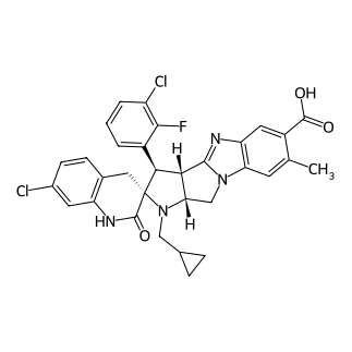 Cc1cc2c(cc1C(=O)O)nc1n2C[C@H]2[C@@H]1[C@H](c1cccc(Cl)c1F)[C@@]1(Cc3ccc(Cl)cc3NC1=O)N2CC1CC1